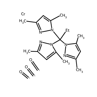 CCC(n1nc(C)cc1C)(n1nc(C)cc1C)n1nc(C)cc1C.[C]=O.[C]=O.[C]=O.[Cr]